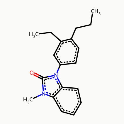 CCCc1ccc(-n2c(=O)n(C)c3ccccc32)cc1CC